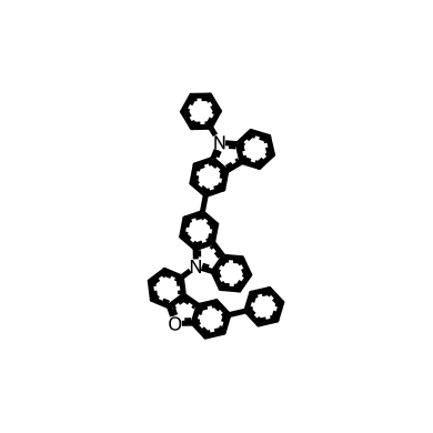 c1ccc(-c2ccc3oc4cccc(-n5c6ccccc6c6cc(-c7ccc8c(c7)c7ccccc7n8-c7ccccc7)ccc65)c4c3c2)cc1